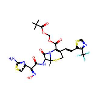 CC(C)(C)C(=O)OCOC(=O)C1=C(C=Cc2scnc2C(F)(F)F)CS[C@@H]2C(NC(=O)C(=NO)c3csc(N)n3)C(=O)N12